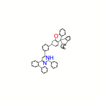 C1=CC(c2cccc(C3=CC(c4ccccc4-c4ccccc4)=NC(c4ccccc4)N3)c2)CC2=C1C1(c3ccccc3O2)c2ccccc2-c2ccccc21